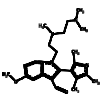 COc1ccc2c(c1)c(C=O)c(-c1c(C)nn(C)c1C)n2CCN(C)CCN(C)C